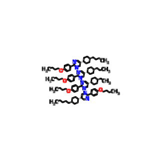 CCCCC[C@H]1CC[C@H](c2cnc(-c3ccc(OCCCC)cc3)nc2)CC1.CCCCOc1ccc(-c2ncc([C@H]3CC[C@H](CC)CC3)cn2)cc1.CCCCOc1ccc(-c2ncc([C@H]3CC[C@H](CCC)CC3)cn2)cc1.CCCCOc1ccc(-c2ncc([C@H]3CC[C@H](CCCC)CC3)cn2)cc1